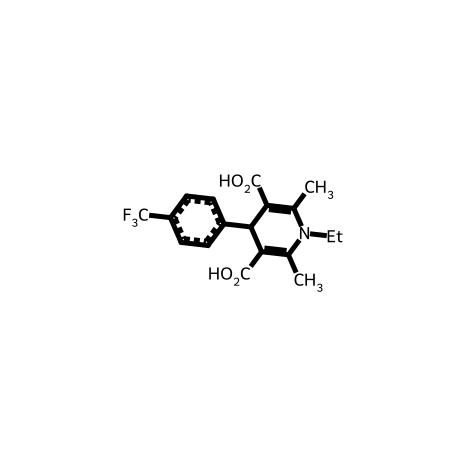 CCN1C(C)=C(C(=O)O)C(c2ccc(C(F)(F)F)cc2)C(C(=O)O)=C1C